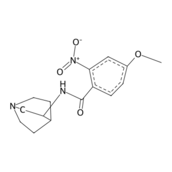 COc1ccc(C(=O)NC2CN3CCC2CC3)c([N+](=O)[O-])c1